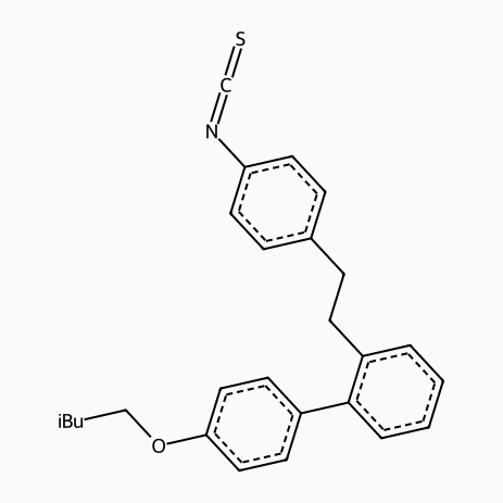 CCC(C)COc1ccc(-c2ccccc2CCc2ccc(N=C=S)cc2)cc1